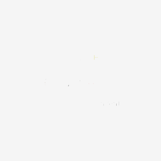 CCCCCCOc1cc(Br)ccc1S